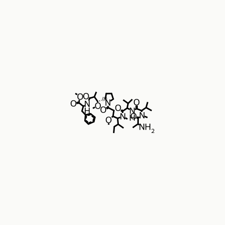 CCC(C)C(C(CC(=O)N1CCC[C@H]1C(OC)C(C)C(=O)NC(Cc1ccccc1)C(=O)OC)OC)N(C)C(=O)C(NC(=O)C(C(C)C)N(C)C(=O)C(C)N)C(C)C